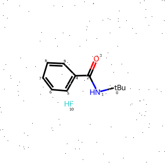 CC(C)(C)NC(=O)c1ccccc1.F